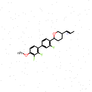 C/C=C/C1CCC(c2ccc(-c3ccc(OCCC)c(F)c3F)cc2F)OC1